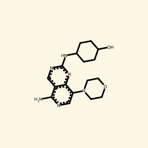 Nc1ncc(N2CCOCC2)c2nc(NC3CCC(O)CC3)ncc12